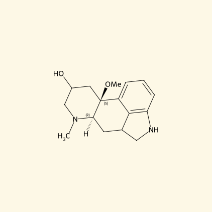 CO[C@]12CC(O)CN(C)[C@@H]1CC1CNc3cccc2c31